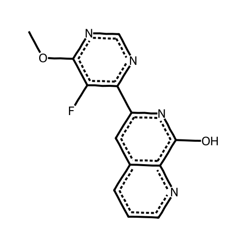 COc1ncnc(-c2cc3cccnc3c(O)n2)c1F